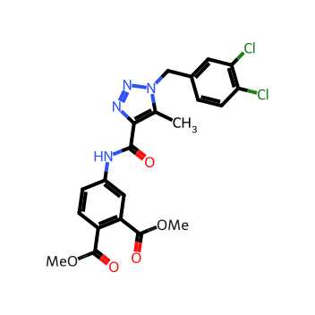 COC(=O)c1ccc(NC(=O)c2nnn(Cc3ccc(Cl)c(Cl)c3)c2C)cc1C(=O)OC